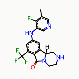 Cc1cncc(Nc2cc3c(c(C(F)(F)F)c2)C(=O)N2CCNC[C@@H]32)c1F